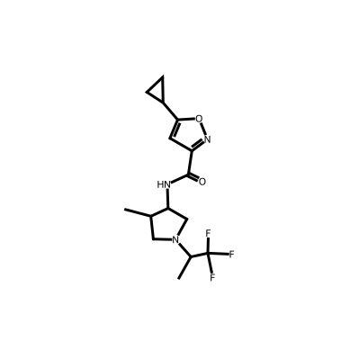 CC1CN(C(C)C(F)(F)F)CC1NC(=O)c1cc(C2CC2)on1